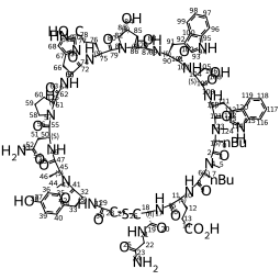 CCCC[C@H]1C(=O)N(C)[C@@H](CCCC)C(=O)N[C@@H](CCC(=O)O)C(=O)N[C@H](C(=O)NCC(N)=O)CSCC(=O)N[C@@H](Cc2ccc(O)cc2)C(=O)N(C)[C@@H](C)C(=O)N[C@@H](CC(N)=O)C(=O)N2CCC[C@H]2C(=O)N[C@@H](Cc2c[nH]cn2)C(=O)N[C@@H](CCC(=O)O)C(=O)N2C[C@H](O)C[C@H]2C(=O)N[C@@H](Cc2c[nH]c3ccccc23)C(=O)N[C@@H](CO)C(=O)N[C@@H](Cc2c[nH]c3ccccc23)C(=O)N1C